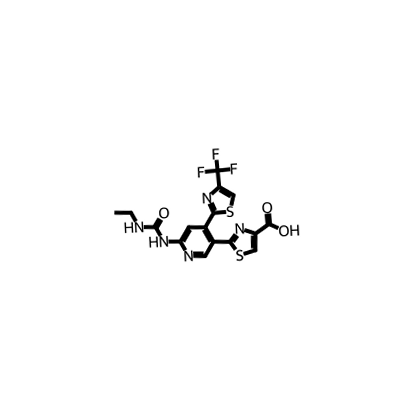 CCNC(=O)Nc1cc(-c2nc(C(F)(F)F)cs2)c(-c2nc(C(=O)O)cs2)cn1